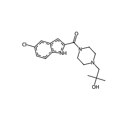 CC(C)(O)CN1CCN(C(=O)c2cc3cc(Cl)ccc3[nH]2)CC1